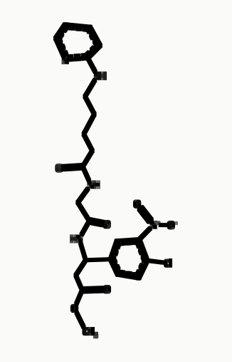 COC(=O)CC(NC(=O)CNC(=O)CCCCNc1ccccn1)c1ccc(Cl)c([N+](=O)[O-])c1